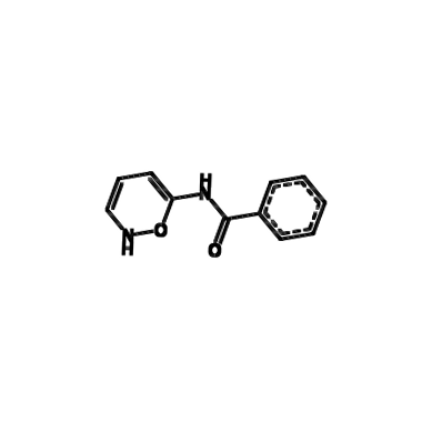 O=C(NC1=CC=CNO1)c1ccccc1